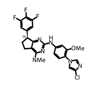 CNc1nc(Nc2ccc(-n3cnc(Cl)c3)c(OC)c2)nc2c1CC[C@H]2c1cc(F)c(F)c(F)c1